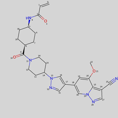 C=CC(=O)N[C@H]1CC[C@@H](C(=O)N2CCC(n3cc(-c4cc(OC)c5c(C#N)cnn5c4)cn3)CC2)CC1